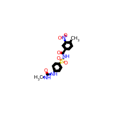 CNC(=O)Nc1ccc(S(=O)(=O)NC(=O)c2ccc(C)c([N+](=O)[O-])c2)cc1